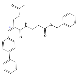 CC(=O)SC/C(=C/c1ccc(-c2ccccc2)cc1)C(=O)NCCC(=O)OCc1ccccc1